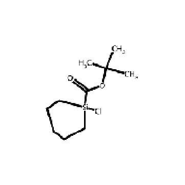 CC(C)(C)OC(=O)[Si]1(Cl)CCCCC1